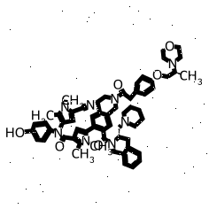 Cc1c(N(C(=O)c2cc(-c3cc4c(cc3C(=O)N3Cc5ccccc5C[C@H]3CN3CCCCC3)CN(C(=O)Cc3ccc(OC[C@@H](C)N5CCOCC5)cc3)CC4)n(C)c2C)c2ccc(O)cc2)cc(C#N)n1C